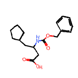 O=C(O)CC(CC1CCCC1)NC(=O)OCc1ccccc1